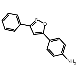 Nc1ccc(-c2cc(-c3ccccc3)no2)cc1